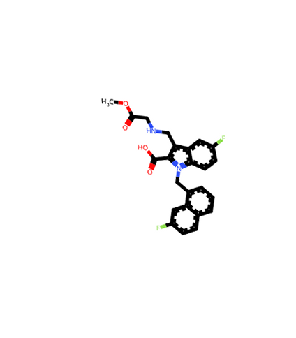 COC(=O)CNCc1c(C(=O)O)n(Cc2cccc3ccc(F)cc23)c2ccc(F)cc12